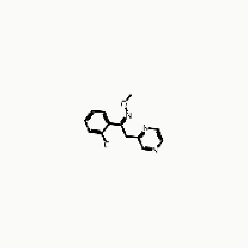 CON=C(Cc1cnccn1)c1ccccc1Cl